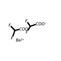 O=C([O-])C(F)F.O=C([O-])C(F)F.[Ba+2]